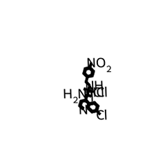 CC(C)(NCc1ccc([N+](=O)[O-])cc1)C(N)(I)c1ccnc2cc(Cl)ccc12.Cl.Cl